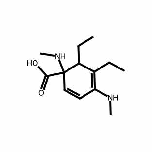 CCC1=C(NC)C=CC(NC)(C(=O)O)C1CC